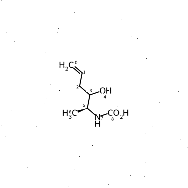 C=CCC(O)[C@H](C)NC(=O)O